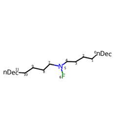 CCCCCCCCCCCCCCN(F)CCCCCCCCCCCCCC